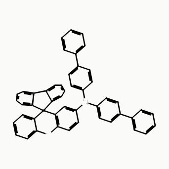 c1ccc(-c2ccc(N(c3ccc(-c4ccccc4)cc3)c3ccc4c(c3)C3(c5ccccc5S4)c4ccccc4-c4ccccc43)cc2)cc1